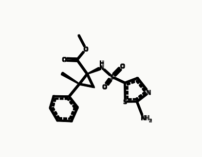 COC(=O)[C@]1(NS(=O)(=O)c2cnc(N)s2)C[C@]1(C)c1ccccc1